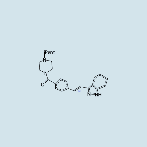 CCCC(C)N1CCN(C(=O)c2ccc(/C=C/c3n[nH]c4ccccc34)cc2)CC1